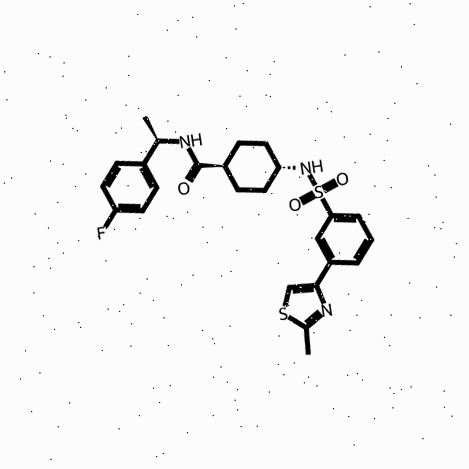 Cc1nc(-c2cccc(S(=O)(=O)N[C@H]3CC[C@H](C(=O)N[C@H](C)c4ccc(F)cc4)CC3)c2)cs1